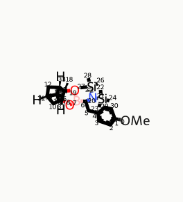 COc1ccc(CC(B2O[C@@H]3C[C@@H]4C[C@@H](C4(C)C)[C@]3(C)O2)N([Si](C)(C)C)[Si](C)(C)C)cc1